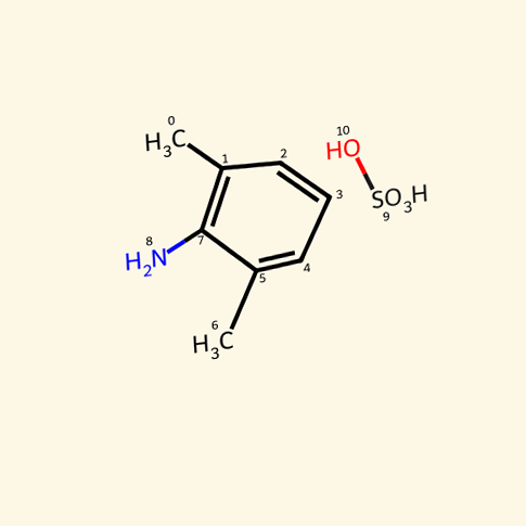 Cc1cccc(C)c1N.O=S(=O)(O)O